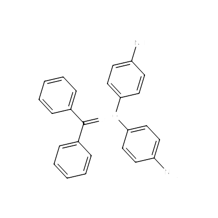 Nc1ccc(Oc2ccc(N)cc2)cc1.O=C(c1ccccc1)c1ccccc1